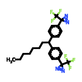 CCCCCCCC(c1ccc(C2(C(F)(F)F)N=N2)cc1)c1ccc(C2(C(F)(F)F)N=N2)cc1